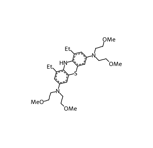 CCc1cc(N(CCOC)CCOC)cc2c1Nc1c(CC)cc(N(CCOC)CCOC)cc1S2